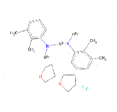 C1CCOC1.C1CCOC1.CCC[N]([Ti+2][N](CCC)c1cccc(C)c1C)c1cccc(C)c1C.[F-].[F-]